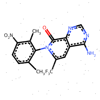 Cc1ccc([N+](=O)[O-])c(C)c1-n1c(C(F)(F)F)cc2c(N)ncnc2c1=O